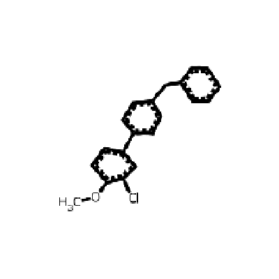 COc1ccc(-c2ccc(Cc3ccccc3)cc2)cc1Cl